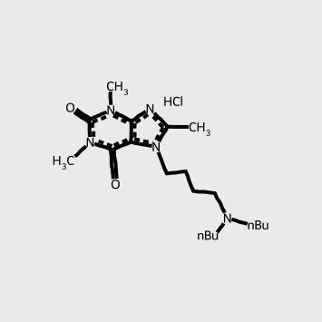 CCCCN(CCCC)CCCCn1c(C)nc2c1c(=O)n(C)c(=O)n2C.Cl